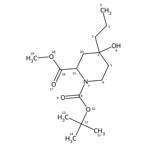 CCCC1(O)CCN(C(=O)OC(C)(C)C)C(C(=O)OC)C1